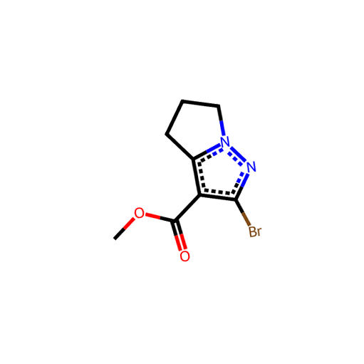 COC(=O)c1c(Br)nn2c1CCC2